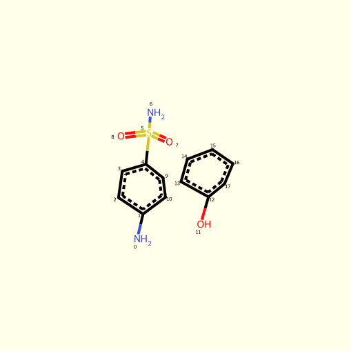 Nc1ccc(S(N)(=O)=O)cc1.Oc1ccccc1